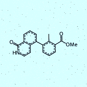 COC(=O)c1cccc(-c2cccc3c(=O)[nH]ccc23)c1C